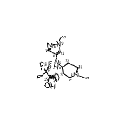 CN1CCC(Nc2cnn(C)c2)CC1.O=C(O)C(F)(F)F